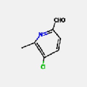 Cc1nc(C=O)ccc1Cl